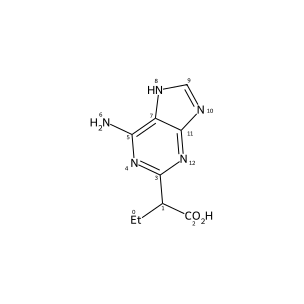 CCC(C(=O)O)c1nc(N)c2[nH]cnc2n1